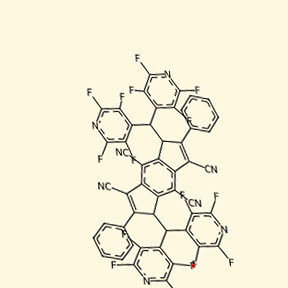 N#CC1=C(c2ccccc2)C(C(c2c(F)c(F)nc(F)c2F)c2c(F)c(F)nc(F)c2F)c2c(C#N)c3c(c(C#N)c21)C(C(c1c(F)c(F)nc(F)c1F)c1c(F)c(F)nc(F)c1F)C(c1ccccc1)=C3C#N